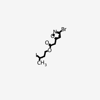 CC(I)CCOC(=O)Cc1cc(Br)no1